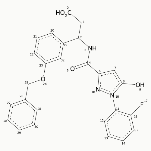 O=C(O)CC(NC(=O)c1cc(O)n(-c2ccccc2F)n1)c1cccc(OCc2ccccc2)c1